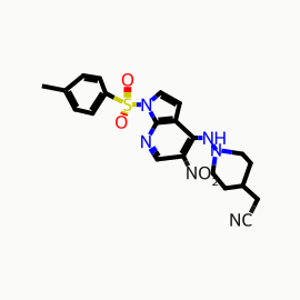 Cc1ccc(S(=O)(=O)n2ccc3c(NN4CCC(CC#N)CC4)c([N+](=O)[O-])cnc32)cc1